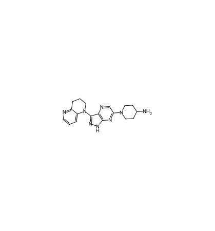 NC1CCN(c2cnc3c(N4CCCc5ncccc54)n[nH]c3n2)CC1